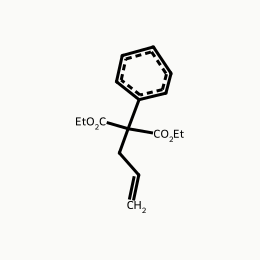 C=CCC(C(=O)OCC)(C(=O)OCC)c1ccccc1